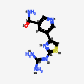 NC(=O)c1cncc(-c2csc(N=C(N)N)n2)c1